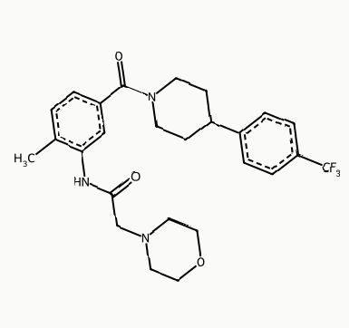 Cc1ccc(C(=O)N2CCC(c3ccc(C(F)(F)F)cc3)CC2)cc1NC(=O)CN1CCOCC1